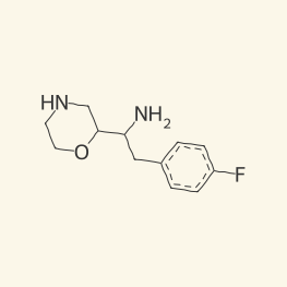 NC(Cc1ccc(F)cc1)C1CNCCO1